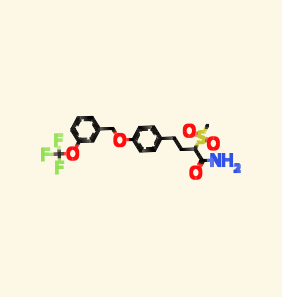 CS(=O)(=O)C(CCc1ccc(OCc2cccc(OC(F)(F)F)c2)cc1)C(N)=O